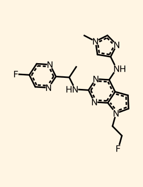 CC(Nc1nc(Nc2cn(C)cn2)c2ccn(CCF)c2n1)c1ncc(F)cn1